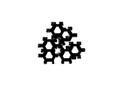 c1ccc2c([S+](c3cccc4ccccc34)c3cccc4ccccc34)cccc2c1